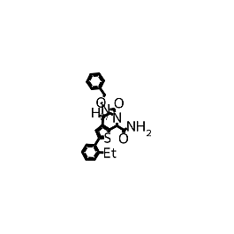 CCc1ccccc1-c1cc2c(s1)C(C(N)=O)N1C[C@H]2N(OCc2ccccc2)C1=O